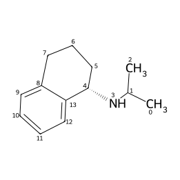 CC(C)N[C@H]1CCCc2ccccc21